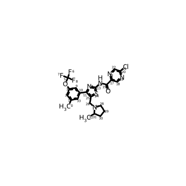 Cc1cc(OC(F)(F)F)cc(-c2nc(NC(=O)c3cnc(Cl)cn3)sc2CN2CCCC2C)c1